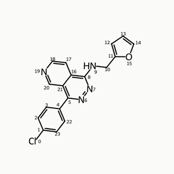 Clc1ccc(-c2nnc(NCc3ccco3)c3ccncc23)cc1